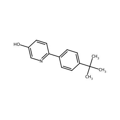 CC(C)(C)c1ccc(-c2ccc(O)cn2)cc1